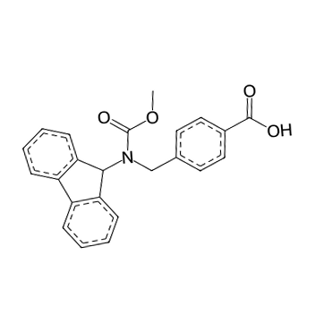 COC(=O)N(Cc1ccc(C(=O)O)cc1)C1c2ccccc2-c2ccccc21